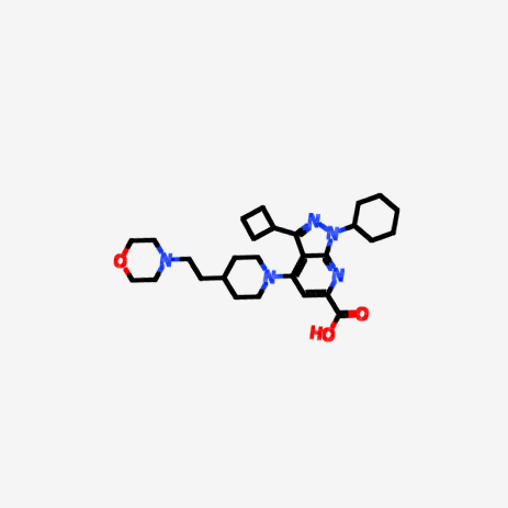 O=C(O)c1cc(N2CCC(CCN3CCOCC3)CC2)c2c(C3CCC3)nn(C3CCCCC3)c2n1